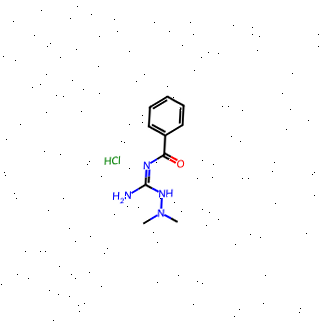 CN(C)NC(N)=NC(=O)c1ccccc1.Cl